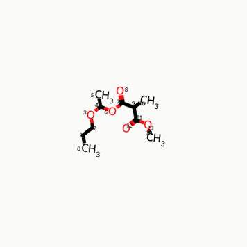 CCCOC(C)OC(=O)C(C)C(=O)OC